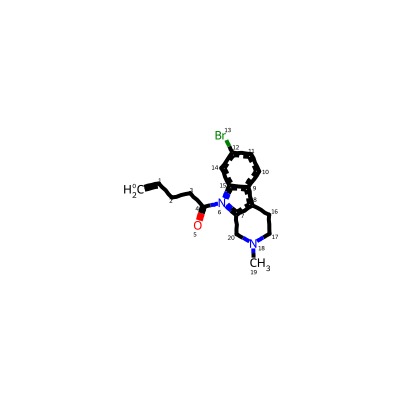 C=CCCC(=O)n1c2c(c3ccc(Br)cc31)CCN(C)C2